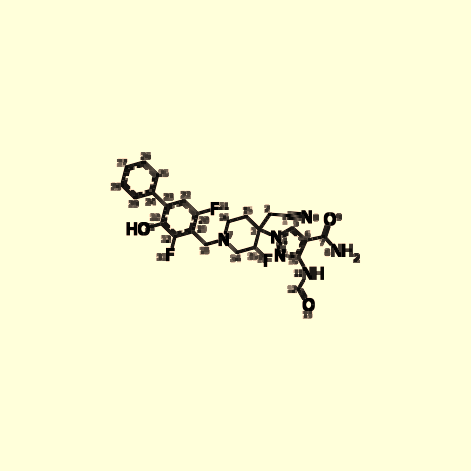 N#CCC1(n2cc(C(N)=O)c(NC=O)n2)CCN(Cc2c(F)cc(-c3ccccc3)c(O)c2F)CC1F